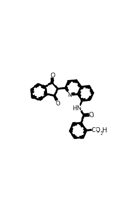 O=C(O)c1ccccc1C(=O)Nc1cccc2ccc(C3C(=O)c4ccccc4C3=O)nc12